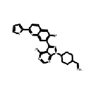 NCC1CCC(n2nc(-c3cc4nc(-c5cccs5)ccc4cc3Cl)c3c(N)ncnc32)CC1